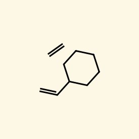 C=C.C=CC1CCCCC1